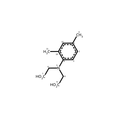 Cc1ccc(N(CC(=O)O)CC(=O)O)c(C)c1